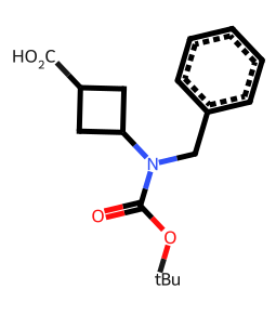 CC(C)(C)OC(=O)N(Cc1ccccc1)C1CC(C(=O)O)C1